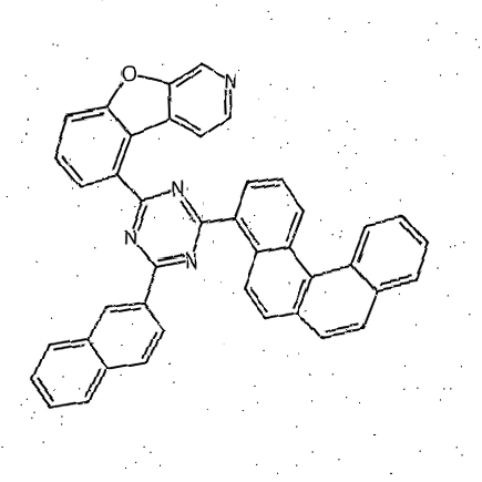 c1ccc2cc(-c3nc(-c4cccc5c4ccc4ccc6ccccc6c45)nc(-c4cccc5oc6cnccc6c45)n3)ccc2c1